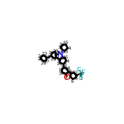 FC(F)(F)c1ccc2oc3ccc(-c4ccc5c(c4)c4cc(-c6ccccc6)ccc4n5-c4ccccc4)cc3c2c1